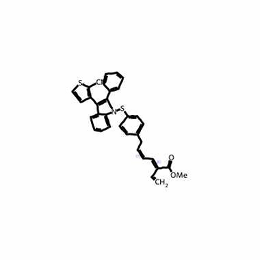 C=C/C(=C\C=C/Cc1ccc(Sn2c(-c3ccccc3)c(-c3ccsc3C#N)c3ccccc32)cc1)C(=O)OC